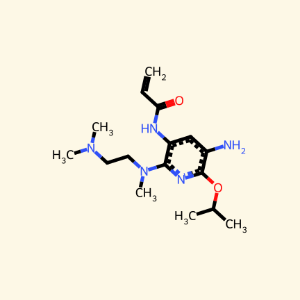 C=CC(=O)Nc1cc(N)c(OC(C)C)nc1N(C)CCN(C)C